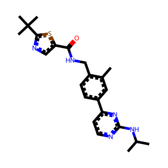 Cc1cc(-c2ccnc(NC(C)C)n2)ccc1CNC(=O)c1cnc(C(C)(C)C)s1